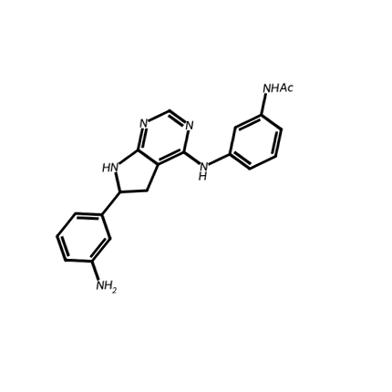 CC(=O)Nc1cccc(Nc2ncnc3c2CC(c2cccc(N)c2)N3)c1